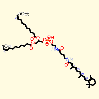 CCCCCCCC/C=C\CCCCCCCC(=O)OCC(COP(=O)(O)OCCNC(=O)CCCNC(=O)/C=C(C)/C=C/C=C(C)/C=C/C1=C(C)CCCC1(C)C)OC(=O)CCCCCCC/C=C\CCCCCCCC